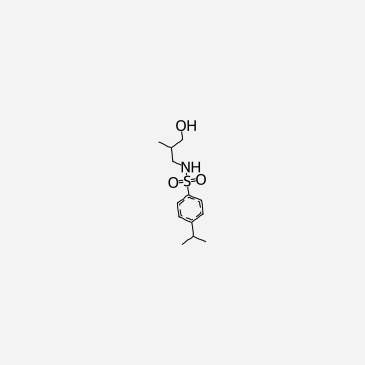 CC(CO)CNS(=O)(=O)c1ccc(C(C)C)cc1